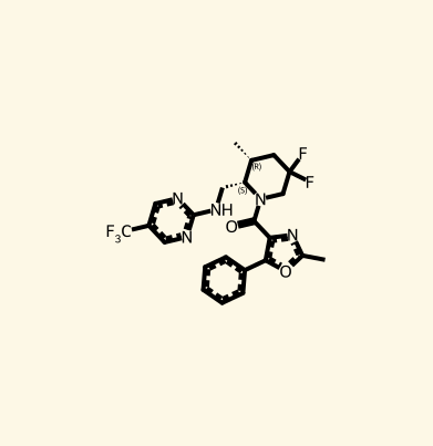 Cc1nc(C(=O)N2CC(F)(F)C[C@@H](C)[C@H]2CNc2ncc(C(F)(F)F)cn2)c(-c2ccccc2)o1